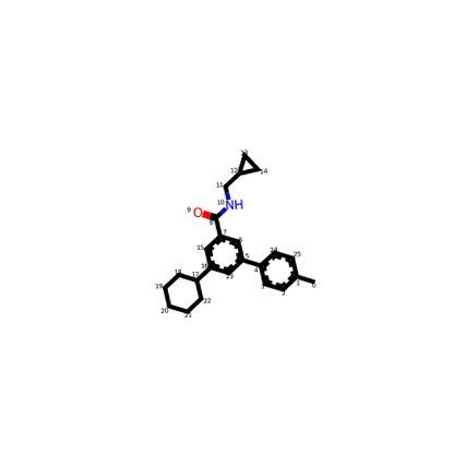 Cc1ccc(-c2cc(C(=O)NCC3CC3)cc(C3CCCCC3)c2)cc1